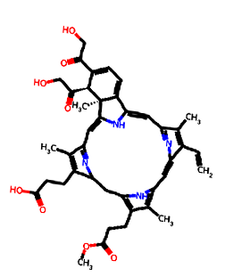 C=CC1=C(C)C2=NC/1=C\c1[nH]c(c(CCC(=O)OC)c1C)CC1N=C(/C=C3\N/C(=C\2)C2=CC=C(C(=O)CO)[C@H](C(=O)CO)[C@@]23C)C(C)=C1CCC(=O)O